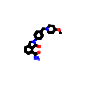 COC1CCN(Cc2ccc(N3Cc4cccc(C(N)=O)c4C3=O)cc2)CC1